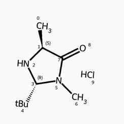 C[C@@H]1N[C@@H](C(C)(C)C)N(C)C1=O.Cl